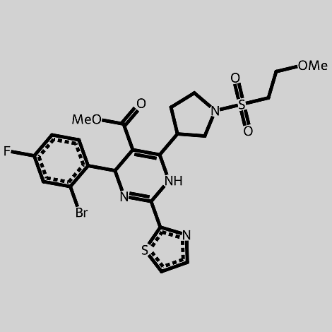 COCCS(=O)(=O)N1CCC(C2=C(C(=O)OC)C(c3ccc(F)cc3Br)N=C(c3nccs3)N2)C1